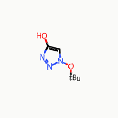 CC(C)(C)On1cc(O)nn1